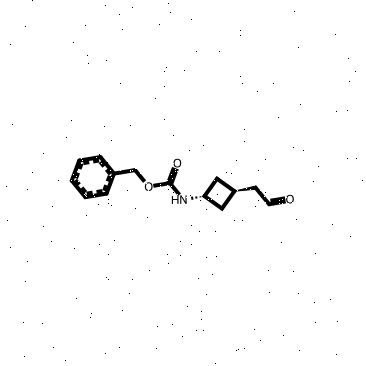 O=CC[C@H]1C[C@H](NC(=O)OCc2ccccc2)C1